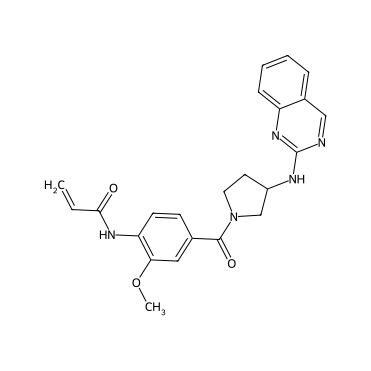 C=CC(=O)Nc1ccc(C(=O)N2CCC(Nc3ncc4ccccc4n3)C2)cc1OC